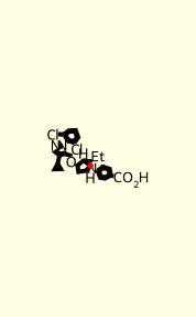 CC[C@@H]1[C@@H]2C[C@@H](C[C@H]2OCc2c(C3CC3)cnn2-c2c(Cl)cccc2Cl)N1c1ccc(C(=O)O)cc1